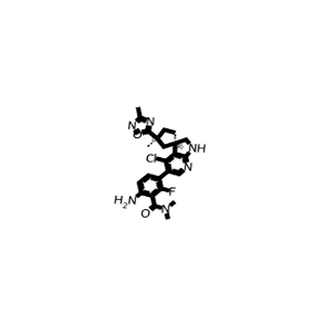 Cc1noc([C@@]2(C)CC[C@@]3(CNc4ncc(-c5ccc(N)c(C(=O)N(C)C)c5F)c(Cl)c43)C2)n1